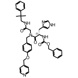 CC(C)(CNC(=O)CN(Cc1ccc(OCc2ccncc2)cc1)C(=O)[C@H](Cc1c[nH]cn1)NC(=O)OCc1ccccc1)c1ccccc1